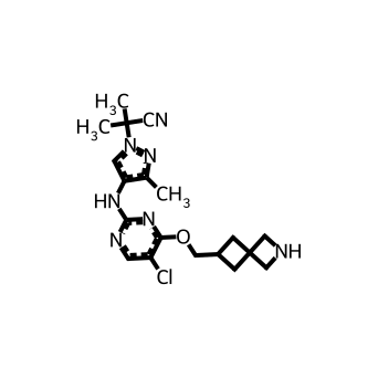 Cc1nn(C(C)(C)C#N)cc1Nc1ncc(Cl)c(OCC2CC3(CNC3)C2)n1